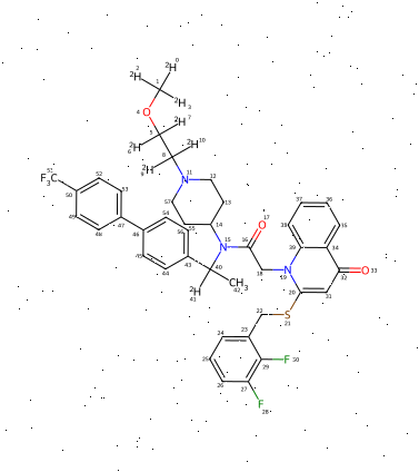 [2H]C([2H])([2H])OC([2H])([2H])C([2H])([2H])N1CCC(N(C(=O)Cn2c(SCc3cccc(F)c3F)cc(=O)c3ccccc32)C([2H])(C)c2ccc(-c3ccc(C(F)(F)F)cc3)cc2)CC1